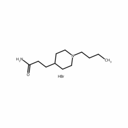 Br.CCCCN1CCC(CCC(N)=O)CC1